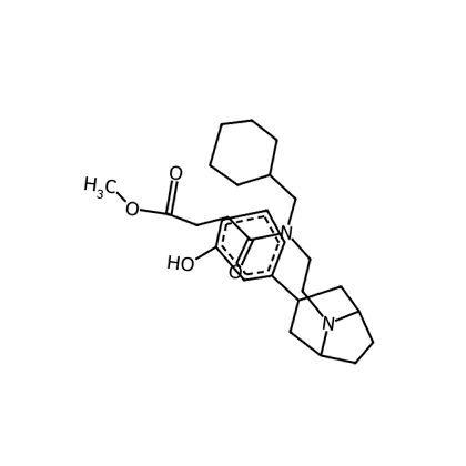 COC(=O)CCC(=O)N(CCN1C2CCC1CC(c1cccc(O)c1)C2)CC1CCCCC1